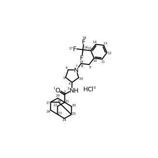 Cl.O=C(NC1CCN(CCc2ccccc2C(F)(F)F)C1)C12CC3CC(CC(C3)C1)C2